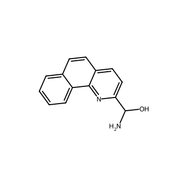 NC(O)c1ccc2ccc3ccccc3c2n1